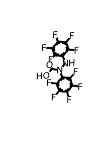 O=C(O)N(Nc1c(F)c(F)c(F)c(F)c1F)c1c(F)c(F)c(F)c(F)c1F